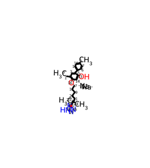 CCc1cc(-c2ccc(C)cc2)c(O)cc1OCCCCCC(C)(C)c1nn[nH]n1.[Na].[Na]